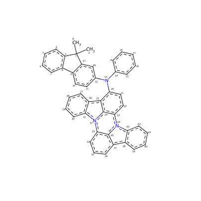 CC1(C)c2ccccc2-c2ccc(N(c3ccccc3)c3ccc4c5c3c3ccccc3n5c3cccc5c6ccccc6n4c53)cc21